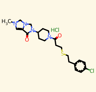 CN1C=C2C(=O)N(C3CCN(C(=O)CCSCCc4ccc(Cl)cc4)CC3)CN2C1.Cl